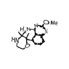 COc1nc(N)c2c(C3(C)OCCNC3(C)C)cccc2n1